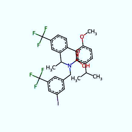 COc1ccc(C(C)C)cc1-c1ccc(C(F)(F)F)cc1C(C)N(Cc1cc(I)cc(C(F)(F)F)c1)C(=O)O